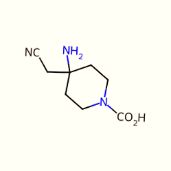 N#CCC1(N)CCN(C(=O)O)CC1